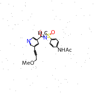 COCC#Cc1cncc(C(=O)N=S(C)(=O)c2ccc(NC(C)=O)cc2)c1